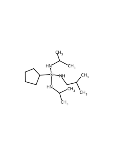 CC(C)CN[Si](NC(C)C)(NC(C)C)C1CCCC1